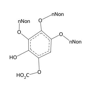 CCCCCCCCCOc1cc(OC(=O)O)c(O)c(OCCCCCCCCC)c1OCCCCCCCCC